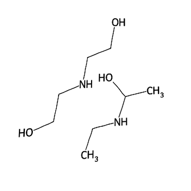 CCNC(C)O.OCCNCCO